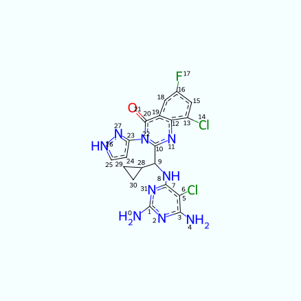 Nc1nc(N)c(Cl)c(NC(c2nc3c(Cl)cc(F)cc3c(=O)n2-c2cc[nH]n2)C2CC2)n1